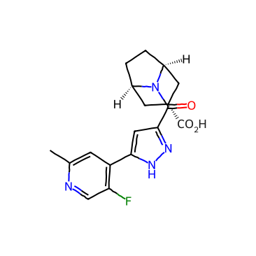 Cc1cc(-c2cc(C(=O)N3[C@@H]4CC[C@H]3C[C@H](C(=O)O)C4)n[nH]2)c(F)cn1